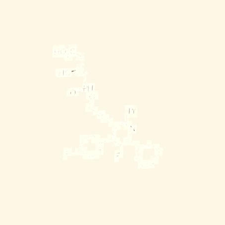 CC(C)c1nc(-c2ccccc2)c(F)c(-c2ccc(F)cc2)c1C#CCO[PH](=O)C[C@@H](O)CC(=O)O